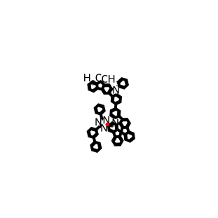 CC1(C)c2ccccc2-c2cc3c4cc(-c5ccc6c(c5)c5ccc7c(c5n6Cc5nc(-c6ccccc6)nc(-c6cccc(-c8ccccc8)c6)n5)C5(c6ccccc6-c6ccccc65)c5ccccc5-7)ccc4n(-c4ccccc4)c3cc21